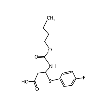 CCCCOC(=O)NC(CC(=O)O)Sc1ccc(F)cc1